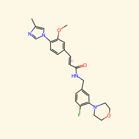 COc1cc(/C=C/C(=O)NCc2ccc(F)c(N3CCOCC3)c2)ccc1-n1cnc(C)c1